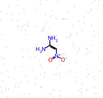 NC(N)=C[N+](=O)[O-]